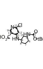 CC(C)(C)OC(=O)NC1CCCC(Nc2cc(Cl)ncc2C(=O)O)C1